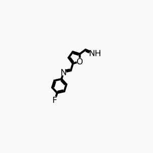 N=Cc1ccc(C=Nc2ccc(F)cc2)o1